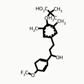 Cc1cc(CCC(O)C2=CCC(OC(F)(F)F)C=C2)cc(C)c1OC(C)(C)C(=O)O